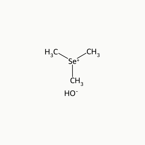 C[Se+](C)C.[OH-]